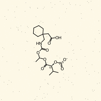 CC(OC(=O)NCC1(CC(=O)O)CCCCC1)OC(=O)[C@@H](O[N+](=O)[O-])C(C)C